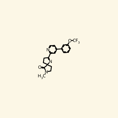 CN1CCC2(CCC(c3cc(-c4cccc(OC(F)(F)F)c4)ccn3)=N2)C1=O